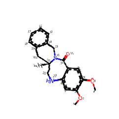 COc1cc2c(cc1OC)C(=O)N1Cc3ccccc3C[C@H]1CN2